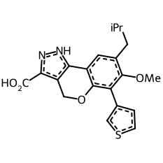 COc1c(CC(C)C)cc2c(c1-c1ccsc1)OCc1c(C(=O)O)n[nH]c1-2